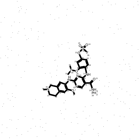 COc1cc2c(cc1Nc1ncc(C(N)=O)c(Nc3ccc(OS(=O)(=O)F)cc3OP(C)C)n1)CN(C)CC2.P